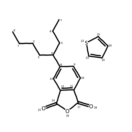 CCCCC(CCC)c1ccc2c(c1)C(=O)OC2=O.c1ccsc1